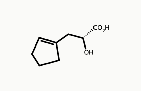 O=C(O)[C@H](O)CC1=CCCC1